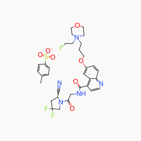 Cc1ccc(S(=O)(=O)[O-])cc1.N#C[C@@H]1CC(F)(F)CN1C(=O)CNC(=O)c1ccnc2ccc(OCCC[N+]3(CCF)CCOCC3)cc12